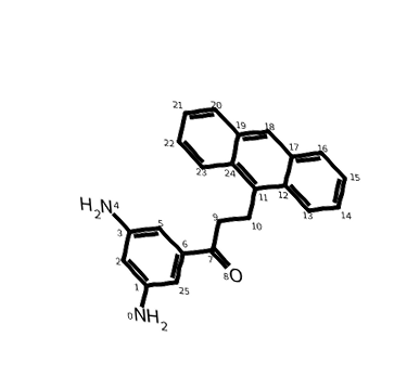 Nc1cc(N)cc(C(=O)CCc2c3ccccc3cc3ccccc23)c1